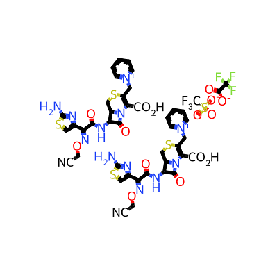 N#CCON=C(C(=O)NC1C(=O)N2C(C(=O)O)=C(C[n+]3ccccc3)SCC12)c1csc(N)n1.N#CCON=C(C(=O)NC1C(=O)N2C(C(=O)O)=C(C[n+]3ccccc3)SCC12)c1csc(N)n1.O=C([O-])C(F)(F)F.O=S(=O)([O-])C(F)(F)F